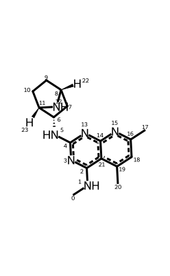 CNc1nc(N[C@H]2C[C@H]3CC[C@@H]2N3)nc2nc(C)cc(C)c12